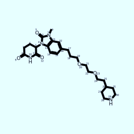 Cn1c(=O)n(C2CCC(=O)NC2=O)c2ccc(CCCOCCOCCC3CCNCC3)cc21